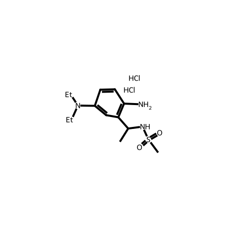 CCN(CC)c1ccc(N)c(C(C)NS(C)(=O)=O)c1.Cl.Cl